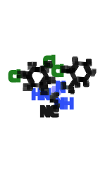 N#CN/C(=N\Cc1ccccc1Cl)Nc1cc(Cl)cc(Cl)c1